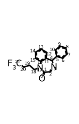 O=C1C=NC(c2ccccc2)c2ccccc2N1CCCC(F)(F)F